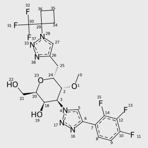 CO[C@@H]1[C@@H](n2cc(-c3ccc(F)c(F)c3F)nn2)[C@@H](O)[C@@H](CO)O[C@@H]1Cc1cn(C2(C(F)(F)F)CCC2)nn1